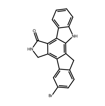 O=C1NCc2c3c(c4[nH]c5ccccc5c4c21)Cc1ccc(Br)cc1-3